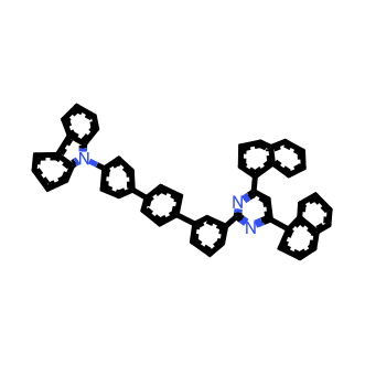 c1cc(-c2ccc(-c3ccc(-n4c5ccccc5c5ccccc54)cc3)cc2)cc(-c2nc(-c3cccc4ccccc34)cc(-c3cccc4ccccc34)n2)c1